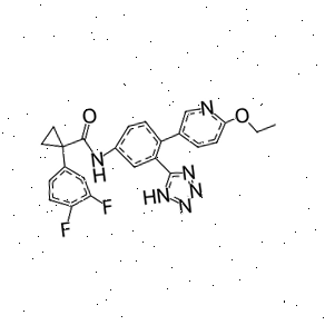 CCOc1ccc(-c2ccc(NC(=O)C3(c4ccc(F)c(F)c4)CC3)cc2-c2nnn[nH]2)cn1